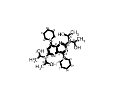 CC(O)N(c1cc(N2CCCCC2)c2nc(N(C(C)O)C(C)O)nc(N3CCCCC3)c2n1)C(C)O